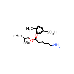 CCCCCCC(CCCC)COC(=O)CCCCCN.Cc1ccc(S(=O)(=O)O)cc1